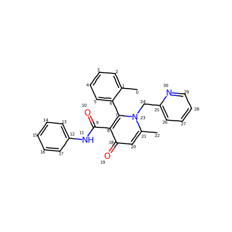 Cc1ccccc1-c1c(C(=O)Nc2ccccc2)c(=O)cc(C)n1Cc1ccccn1